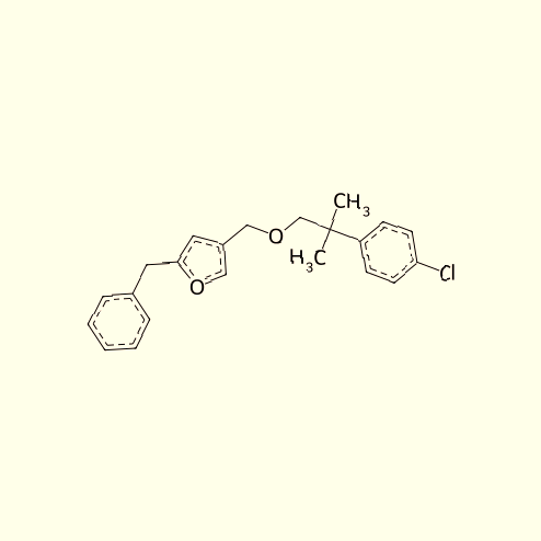 CC(C)(COCc1coc(Cc2ccccc2)c1)c1ccc(Cl)cc1